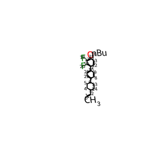 C/C=C/C1CCC(c2ccc(-c3ccc(OCCCC)c(F)c3F)cc2)CC1